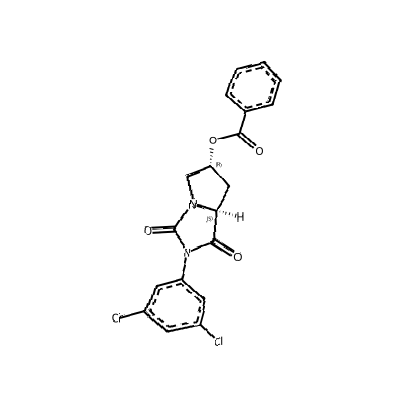 O=C(O[C@@H]1C[C@H]2C(=O)N(c3cc(Cl)cc(Cl)c3)C(=O)N2C1)c1ccccc1